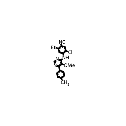 [C-]#[N+]c1cc(Cl)c(Nc2ncnc(-c3ccc(C)cc3)c2OC)cc1CC